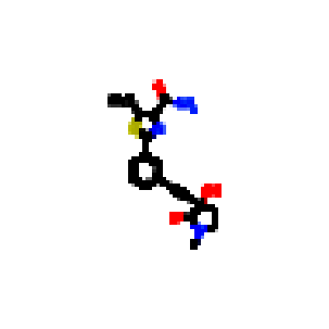 CNc1sc(-c2cccc(C#C[C@]3(O)CCN(C)C3=O)c2)nc1C(N)=O